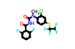 CN(C(=O)NC(=O)c1c(F)cccc1F)c1ccc(SC(F)(F)C(F)F)cc1Cl